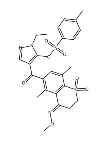 CCn1ncc(C(=O)c2cc(C)c3c(c2C)C(=NOC)CCS3(=O)=O)c1OS(=O)(=O)c1ccc(C)cc1